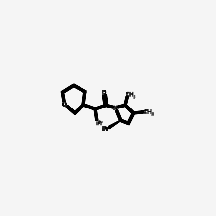 CC(C)C(C(=O)N1C(C)C(C)C[C@H]1C(C)C)C1CCCOC1